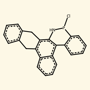 ClP1Nc2c3c(c4ccccc4c2-c2ccccc21)Cc1ccccc1C3